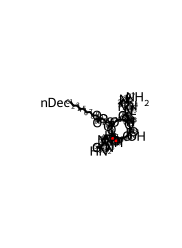 CCCCCCCCCCCCCCCCCCOC(=O)OCSP1(=O)OCC2O[C@@H](n3cnc4c(N)ncnc43)[C@H](F)[C@@H]2OCP(=O)(O)OC[C@H]2O[C@@H](n3cnc4c(=O)[nH]cnc43)[C@H](O1)[C@@H]2F